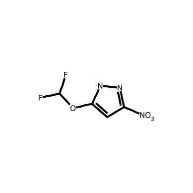 O=[N+]([O-])C1=N[N]C(OC(F)F)=C1